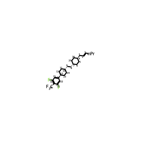 CCC/C=C/C[C@H]1CC[C@H](CC[C@H]2CC[C@H](c3cc(F)c(C(F)(F)F)c(F)c3)CC2)CC1